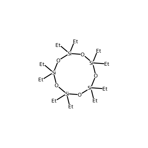 CC[Si]1(CC)O[Si](CC)(CC)O[Si](CC)(CC)O[Si](CC)(CC)O[Si](CC)(CC)O1